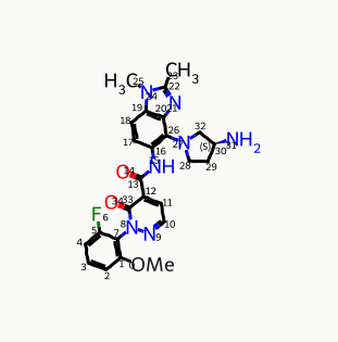 COc1cccc(F)c1-n1nccc(C(=O)Nc2ccc3c(nc(C)n3C)c2N2CC[C@H](N)C2)c1=O